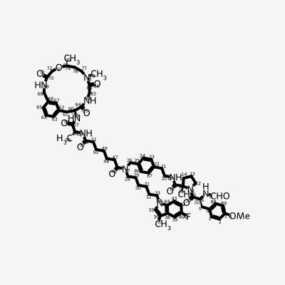 COc1ccc(C[C@H](NC=O)C(=O)N2CCC[C@@]2(C)C(=O)NCCc2ccc(CN(CCCCCCn3cc(C)c4cc(F)ccc43)C(=O)CCCCCC(=O)N[C@H](C)C(=O)N[C@H]3Cc4cccc(c4)CNC(=O)CO[C@H](C)CCN(C)C(=O)CNC3=O)cc2)cc1